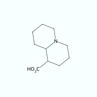 O=C(O)C1CCCN2CCCCC12